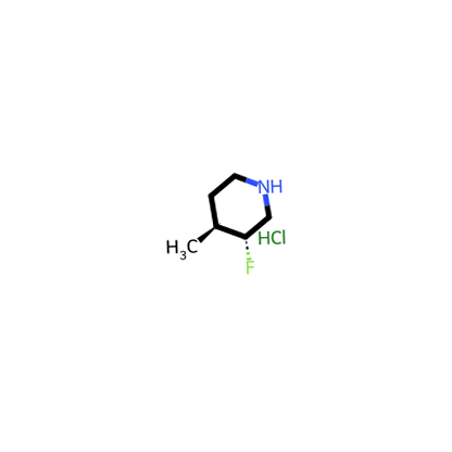 C[C@H]1CCNC[C@@H]1F.Cl